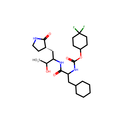 O=C(NC(CC1CCCCC1)C(=O)NC(C[C@@H]1CCNC1=O)C(O)S(=O)(=O)O)OC1CCC(F)(F)CC1